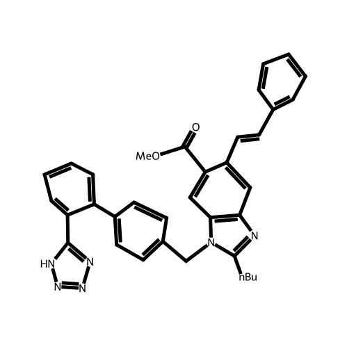 CCCCc1nc2cc(C=Cc3ccccc3)c(C(=O)OC)cc2n1Cc1ccc(-c2ccccc2-c2nnn[nH]2)cc1